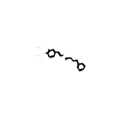 COc1cc(C=CNC(=O)CCCc2ccccc2)cc(OC)c1OC